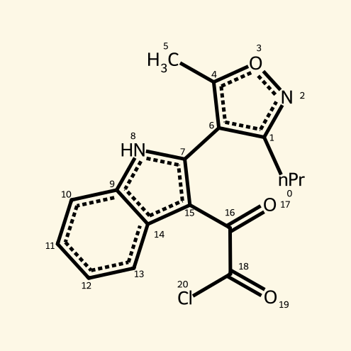 CCCc1noc(C)c1-c1[nH]c2ccccc2c1C(=O)C(=O)Cl